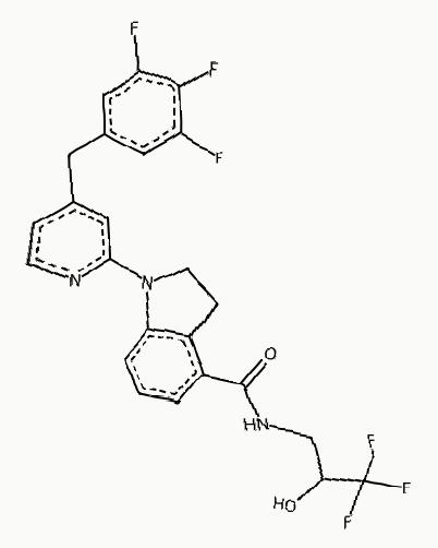 O=C(NCC(O)C(F)(F)F)c1cccc2c1CCN2c1cc(Cc2cc(F)c(F)c(F)c2)ccn1